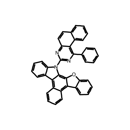 c1ccc(-c2nc(-n3c4ccccc4c4c5ccccc5c5c6ccccc6oc5c43)nc3ccc4ccccc4c23)cc1